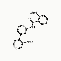 CNc1ccccc1C(=O)Nc1cc[c]c(-c2ccccc2NC)c1